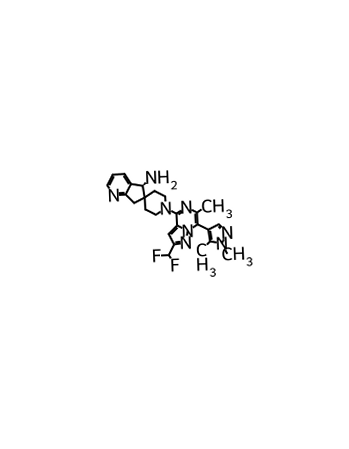 Cc1nc(N2CCC3(CC2)Cc2ncccc2[C@H]3N)c2cc(C(F)F)nn2c1-c1cnn(C)c1C